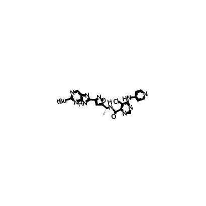 C[C@@H](NC(=O)c1ncnc(Nc2ccncc2)c1Cl)c1cc(-c2nc3cnc(C(C)(C)C)nc3[nH]2)no1